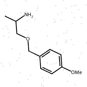 COc1ccc(COCC(C)N)cc1